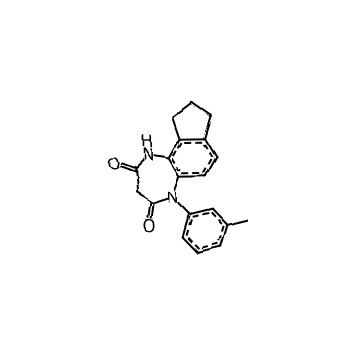 Cc1cccc(N2C(=O)CC(=O)Nc3c2ccc2c3CCC2)c1